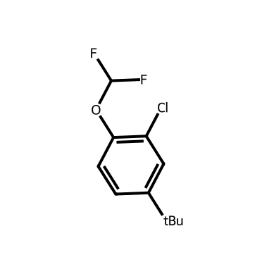 CC(C)(C)c1ccc(OC(F)F)c(Cl)c1